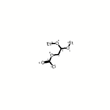 CCOC(COC(=O)Cl)OCC